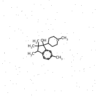 Cc1ccc2c(c1)C(O)(C1CCN(C)CC1)C(C)(C)C2C